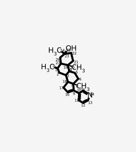 CC1CC2C(CC[C@]3(C)C(c4cccnc4)=CCC23)[C@@]2(C)CCC(C)(O)CC12